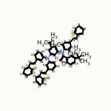 Cc1cc(-c2cc3ccccc3s2)cc(C)c1N1c2cc(C(C)C)cc3c2B(c2ccc(-c4cc5ccccc5s4)cc2N3c2cccc(-c3cc4ccccc4s3)c2)c2oc3ccc(C(C)(C)C)cc3c21